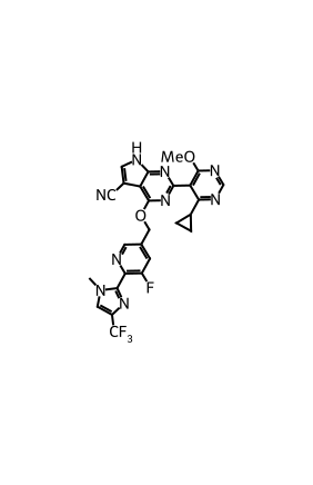 COc1ncnc(C2CC2)c1-c1nc(OCc2cnc(-c3nc(C(F)(F)F)cn3C)c(F)c2)c2c(C#N)c[nH]c2n1